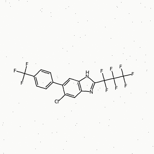 FC(F)(F)c1ccc(-c2cc3[nH]c(C(F)(F)C(F)(F)C(F)(F)F)nc3cc2Cl)cc1